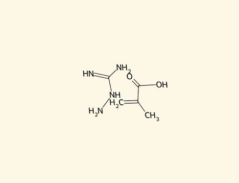 C=C(C)C(=O)O.N=C(N)NN